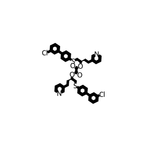 O=C(O[C@H](CCc1cccnc1)CSc1ccc(-c2cccc(Cl)c2)cc1)C(=O)O[C@H](CCc1cccnc1)CSc1ccc(-c2cccc(Cl)c2)cc1